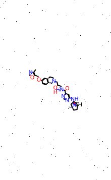 CC(=O)N1[C@H]2CC[C@]1(C)CC(Nc1cc(C(=O)NC[C@H](O)CN3CCc4cc(OCc5ocnc5C)ccc4C3)ncn1)C2